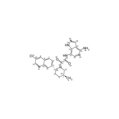 C[C@H]1CC[C@H](c2ccc3cc(Cl)cnc3c2)N(C(=O)C(=O)Nc2cnc(N)c3cn[nH]c23)C1